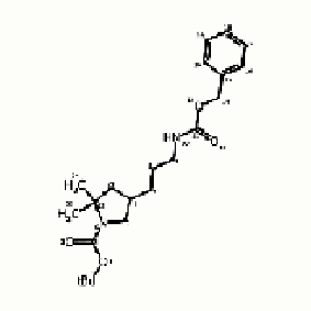 CC(C)(C)OC(=O)N1CC(CCCNC(=O)OCc2ccccc2)CC1(C)C